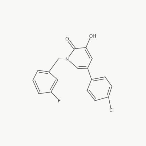 O=c1c(O)cc(-c2ccc(Cl)cc2)cn1Cc1cccc(F)c1